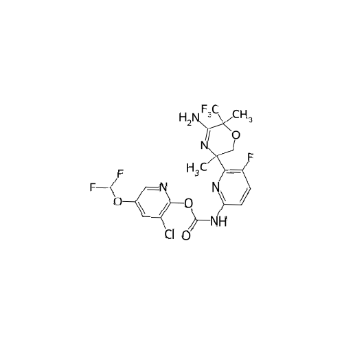 CC1(c2nc(NC(=O)Oc3ncc(OC(F)F)cc3Cl)ccc2F)COC(C)(C(F)(F)F)C(N)=N1